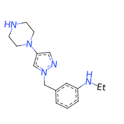 CCNc1cccc(Cn2cc(N3CCNCC3)cn2)c1